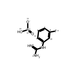 N=C(N)Nc1cccc(F)c1.O=[N+]([O-])O